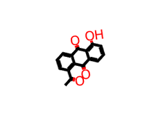 CC(=O)c1cccc2c1C(=O)c1cccc(O)c1C2=O